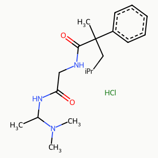 CC(C)CC(C)(C(=O)NCC(=O)NC(C)N(C)C)c1ccccc1.Cl